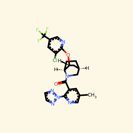 Cc1cnc(-n2nccn2)c(C(=O)N2C[C@@H]3CC[C@H]2[C@H](Oc2ncc(C(F)(F)F)cc2Cl)C3)c1